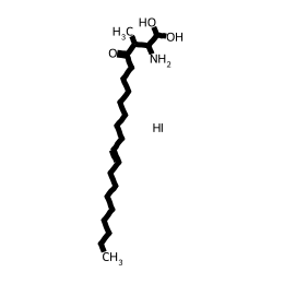 CCCCCCCCC=CCCCCCCCC(=O)C(C)C(N)C(O)O.I